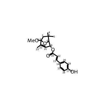 COC12CC(C)(C)C(O1)C(OC(=O)C=Cc1ccc(O)cc1)C=C2C